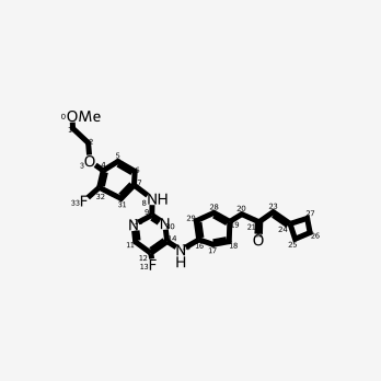 COCCOc1ccc(Nc2ncc(F)c(Nc3ccc(CC(=O)C=C4CCC4)cc3)n2)cc1F